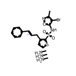 CN.CN.CN.Cc1noc(NS(=O)(=O)c2sccc2C/C=C/c2ccccc2)c1Br